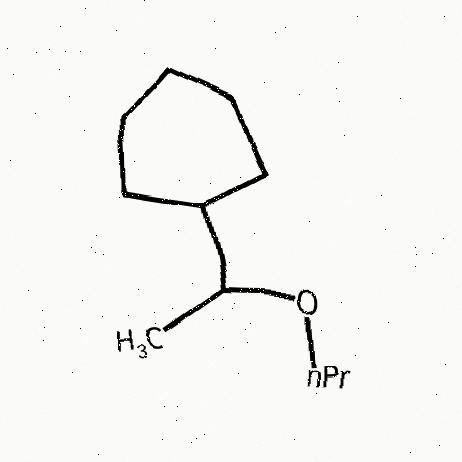 [CH2]CCOC(C)C1CCCCC1